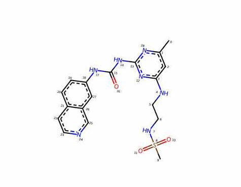 Cc1cc(NCCNS(C)(=O)=O)nc(NC(=O)Nc2ccc3ccncc3c2)n1